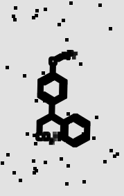 CCCOc1ccc(C(CC(=O)O)c2ccccc2)cc1